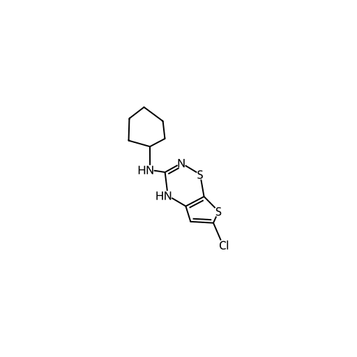 Clc1cc2c(s1)SN=C(NC1CCCCC1)N2